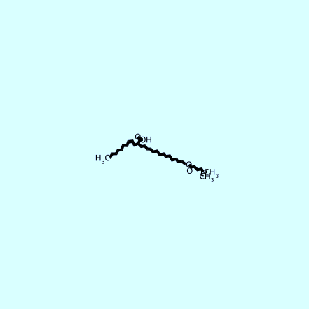 CCCCCCCC/C=C\CC(CCCCCCCCCCCCCCCOC(=O)CCCN(C)C)C(=O)O